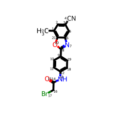 Cc1cc(C#N)cc2nc(-c3ccc(NC(=O)CBr)cc3)oc12